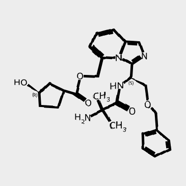 CC(C)(N)C(=O)N[C@H](COCc1ccccc1)c1ncc2cccc(COC(=O)C3CC[C@@H](O)C3)n12